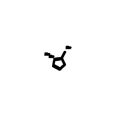 CC1=CC=CC1.[Mn].[Mn].[Mn]